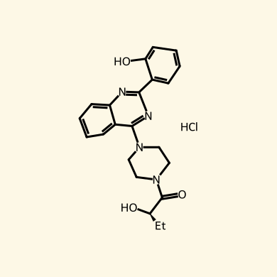 CC[C@@H](O)C(=O)N1CCN(c2nc(-c3ccccc3O)nc3ccccc23)CC1.Cl